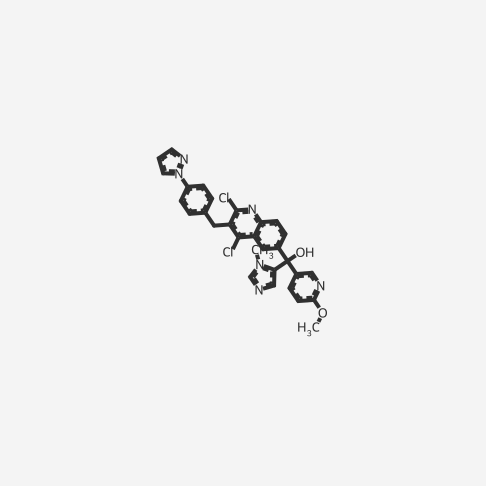 COc1ccc(C(O)(c2ccc3nc(Cl)c(Cc4ccc(-n5cccn5)cc4)c(Cl)c3c2)c2cncn2C)cn1